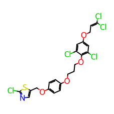 ClC(Cl)=CCOc1cc(Cl)c(OCCCOc2ccc(OCc3cnc(Cl)s3)cc2)c(Cl)c1